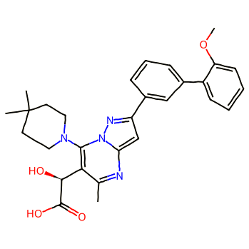 COc1ccccc1-c1cccc(-c2cc3nc(C)c([C@H](O)C(=O)O)c(N4CCC(C)(C)CC4)n3n2)c1